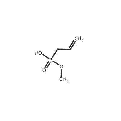 C=CCP(=O)(O)OC